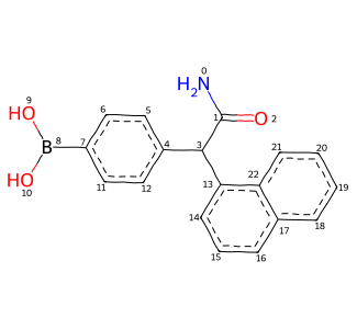 NC(=O)C(c1ccc(B(O)O)cc1)c1cccc2ccccc12